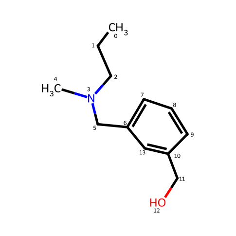 CCCN(C)Cc1cccc(CO)c1